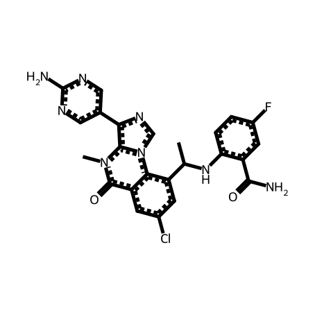 CC(Nc1ccc(F)cc1C(N)=O)c1cc(Cl)cc2c(=O)n(C)c3c(-c4cnc(N)nc4)ncn3c12